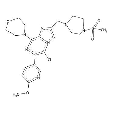 COc1ccc(-c2nc(N3CCOCC3)c3nc(CN4CCN(S(C)(=O)=O)CC4)cn3c2Cl)cn1